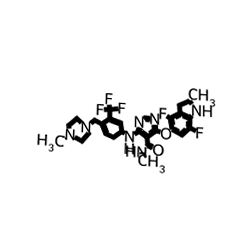 CNC(=O)c1c(NC2C=C(C(F)(F)F)C(CN3CCN(C)CC3)=CC2)ncnc1Oc1cc(F)c2c(c1F)CC(C)N2